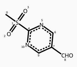 CS(=O)(=O)c1ncc(C=O)cn1